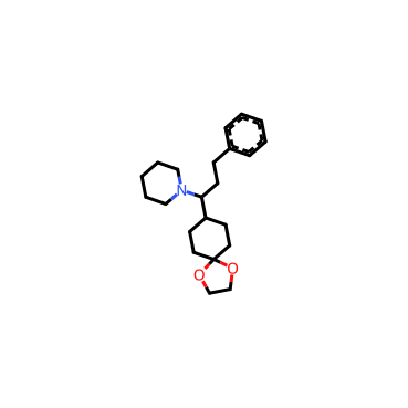 c1ccc(CCC(C2CCC3(CC2)OCCO3)N2CCCCC2)cc1